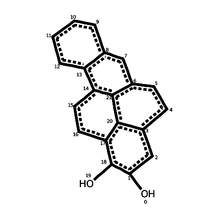 Oc1cc2ccc3cc4ccccc4c4ccc(c1O)c2c34